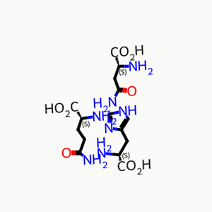 NC(=O)CC[C@H](N)C(=O)O.NC(=O)C[C@H](N)C(=O)O.N[C@@H](Cc1c[nH]cn1)C(=O)O